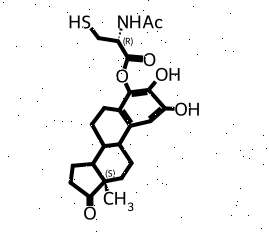 CC(=O)N[C@@H](CS)C(=O)Oc1c(O)c(O)cc2c1CCC1C2CC[C@]2(C)C(=O)CCC12